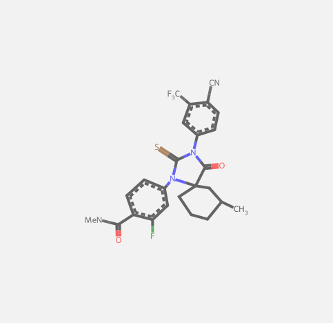 CNC(=O)c1ccc(N2C(=S)N(c3ccc(C#N)c(C(F)(F)F)c3)C(=O)C23CCCC(C)C3)cc1F